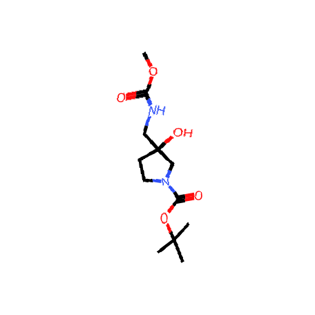 COC(=O)NCC1(O)CCN(C(=O)OC(C)(C)C)C1